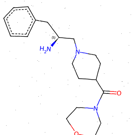 N[C@@H](Cc1ccccc1)CN1CCC(C(=O)N2CCOCC2)CC1